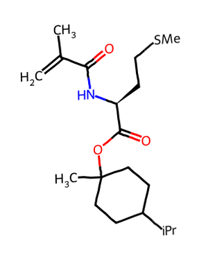 C=C(C)C(=O)N[C@@H](CCSC)C(=O)OC1(C)CCC(C(C)C)CC1